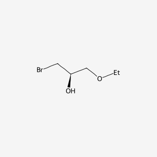 CCOC[C@@H](O)CBr